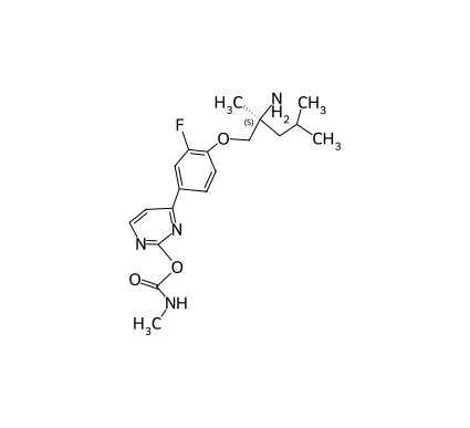 CNC(=O)Oc1nccc(-c2ccc(OC[C@@](C)(N)CC(C)C)c(F)c2)n1